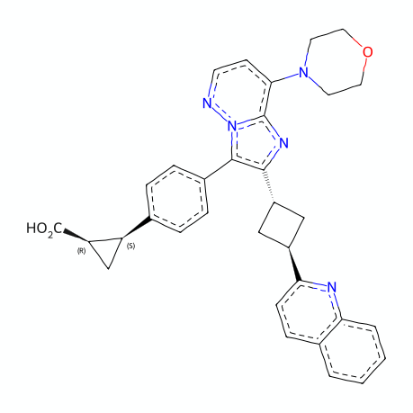 O=C(O)[C@@H]1C[C@@H]1c1ccc(-c2c([C@H]3C[C@H](c4ccc5ccccc5n4)C3)nc3c(N4CCOCC4)ccnn23)cc1